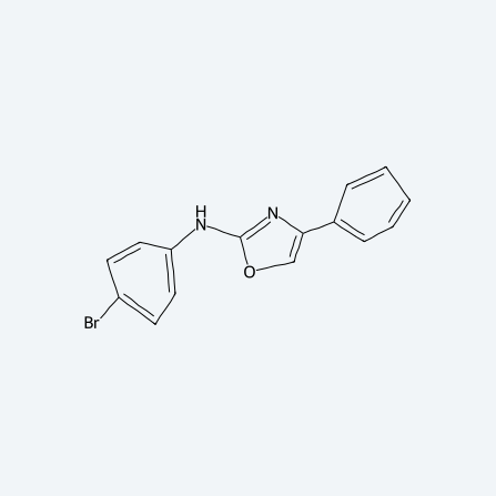 Brc1ccc(Nc2nc(-c3ccccc3)co2)cc1